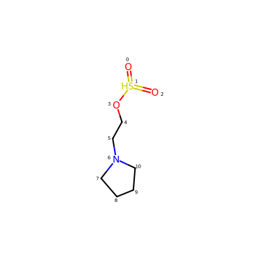 O=[SH](=O)OCCN1CCCC1